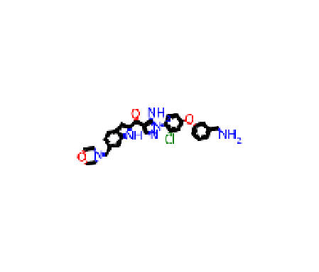 NCc1cccc(Oc2ccc(-n3ncc(C(=O)c4cc5ccc(CN6CCOCC6)cc5[nH]4)c3N)c(Cl)c2)c1